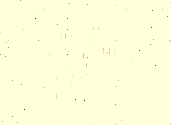 CCC1CN(S(C)(=N)=O)C1